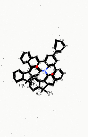 CC1(C)c2ccccc2-c2ccc(N(c3cccc4c3-c3ccccc3C4(C)C)c3c(-c4ccccc4)cc(-c4ccccc4)cc3-c3ccc4ccccc4c3)cc21